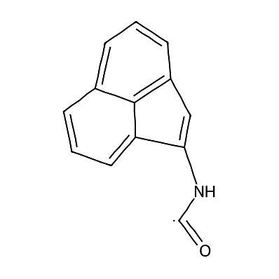 O=[C]NC1=Cc2cccc3cccc1c23